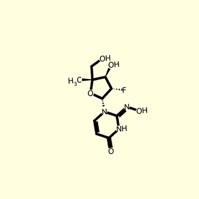 C[C@]1(CO)O[C@@H](n2ccc(=O)[nH]/c2=N\O)[C@@H](F)[C@@H]1O